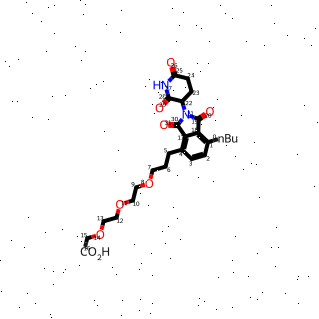 CCCCc1ccc(CCCOCCOCCOCC(=O)O)c2c1C(=O)N(C1CCC(=O)NC1=O)C2=O